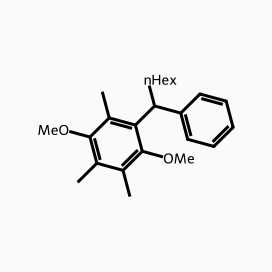 CCCCCCC(c1ccccc1)c1c(C)c(OC)c(C)c(C)c1OC